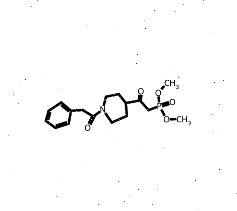 COP(=O)(CC(=O)C1CCN(C(=O)Cc2ccccc2)CC1)OC